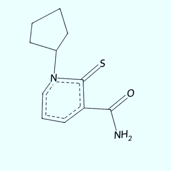 NC(=O)c1cccn(C2CCCC2)c1=S